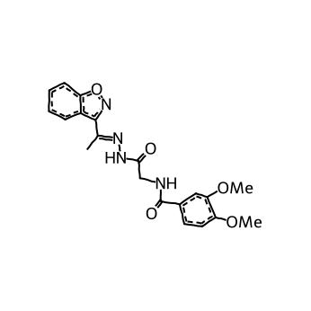 COc1ccc(C(=O)NCC(=O)N/N=C(\C)c2noc3ccccc23)cc1OC